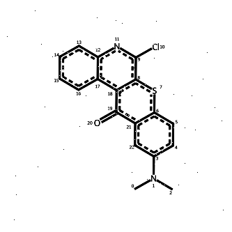 CN(C)c1ccc2sc3c(Cl)nc4ccccc4c3c(=O)c2c1